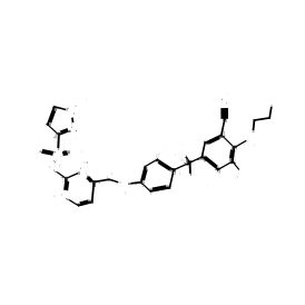 Cn1ccc(S(=O)(=O)Nc2nccc(COc3ccc(C(C)(C)c4cc(Cl)c(OCCCl)c(C#N)c4)cc3)n2)n1